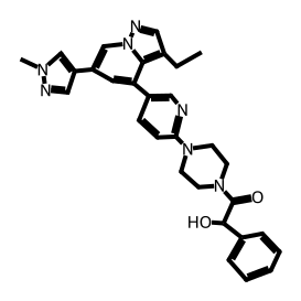 CCc1cnn2cc(-c3cnn(C)c3)cc(-c3ccc(N4CCN(C(=O)C(O)c5ccccc5)CC4)nc3)c12